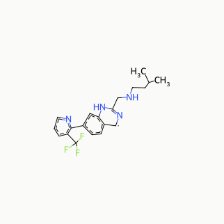 CC(C)CCNCC1=N[CH]c2ccc(-c3ncccc3C(F)(F)F)cc2N1